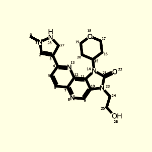 CN1C=C(c2ccc3ncc4c(c3n2)n(C2CCOCC2)c(=O)n4CCO)CN1